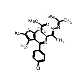 CCCC/C(C)=N\N=C(/C)[C@H](CC(=O)OC)/N=C(/c1ccc(Cl)cc1)c1c(C)sc(C(C)=O)c1C